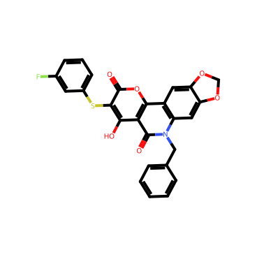 O=c1oc2c(c(O)c1Sc1cccc(F)c1)c(=O)n(Cc1ccccc1)c1cc3c(cc21)OCO3